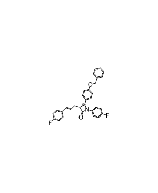 O=C1C(CC=Cc2ccc(F)cc2)[C@@H](c2ccc(OCc3ccccc3)cc2)N1c1ccc(F)cc1